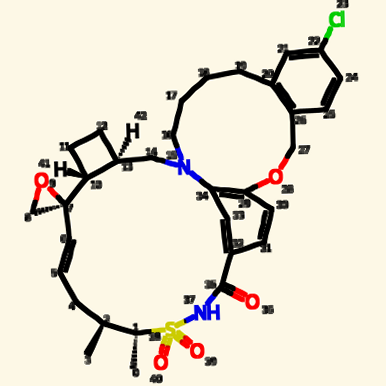 C[C@@H]1[C@@H](C)C/C=C/[C@]2(CO2)[C@@H]2CC[C@H]2CN2CCCCc3cc(Cl)ccc3COc3ccc(cc32)C(=O)NS1(=O)=O